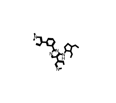 C=C/C(=C\N(C)C)c1cccc(-c2ncc(C(/C=N\C)=C/C)c(NC3CCC(CC)C3CC)n2)c1